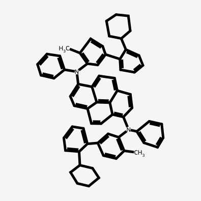 Cc1ccc(-c2ccccc2C2CCCCC2)cc1N(c1ccccc1)c1ccc2ccc3c(N(c4ccccc4)c4cc(-c5ccccc5C5CCCCC5)ccc4C)ccc4ccc1c2c43